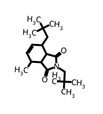 CC1C=CC(CC(C)(C)C)C2C(=O)N(CC(C)(C)C)C(=O)C12